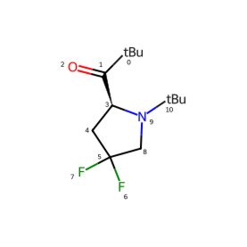 CC(C)(C)C(=O)[C@@H]1CC(F)(F)CN1C(C)(C)C